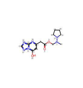 CN(COC(=O)Cc1cc(O)n2ncnc2n1)N1CCCC1